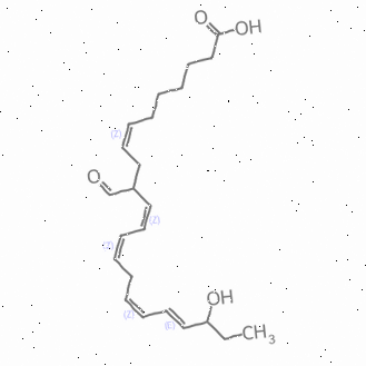 CCC(O)/C=C/C=C\C/C=C\C=C/C(C=O)C/C=C\CCCCCC(=O)O